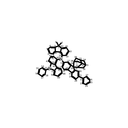 CC1(C)c2ccccc2-c2c(N(c3ccc4c(c3)C3(c5cc(-c6ccccc6)ccc5-4)C4CC5CC(C4)CC3C5)c3cccc4c3c3ccccc3n4-c3ccccc3)cccc21